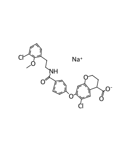 COc1c(Cl)cccc1CCNC(=O)c1ccc(Oc2cc3c(cc2Cl)C(C(=O)[O-])CCO3)cc1.[Na+]